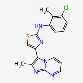 Cc1nc2ncccn2c1-c1csc(Nc2cccc(Cl)c2C)n1